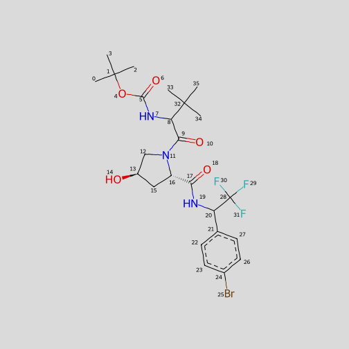 CC(C)(C)OC(=O)NC(C(=O)N1C[C@H](O)C[C@H]1C(=O)NC(c1ccc(Br)cc1)C(F)(F)F)C(C)(C)C